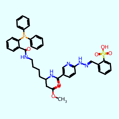 COC(=O)CC(CCCCNC(=O)c1ccccc1P(c1ccccc1)c1ccccc1)NC(=O)c1ccc(NN=Cc2ccccc2S(=O)(=O)O)nc1